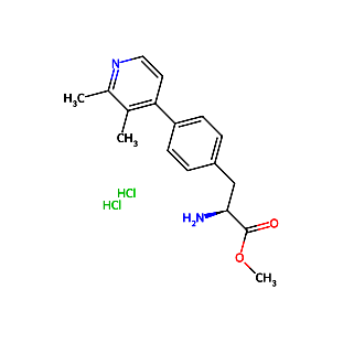 COC(=O)[C@@H](N)Cc1ccc(-c2ccnc(C)c2C)cc1.Cl.Cl